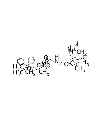 Cc1c(I)cnn1CC12CC3(C)CC(C)(C1)CC(OCCNCCS(=O)(=O)OCC(C)(C)CCO[Si](c1ccccc1)(c1ccccc1)C(C)(C)C)(C3)C2